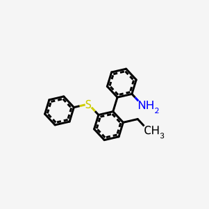 CCc1cccc(Sc2ccccc2)c1-c1ccccc1N